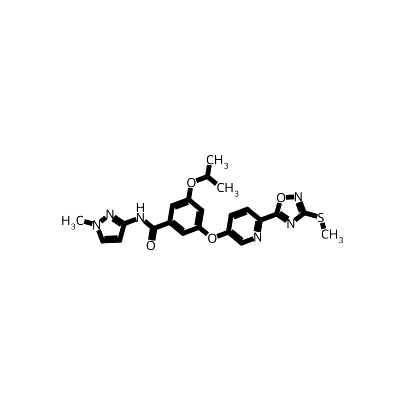 CSc1noc(-c2ccc(Oc3cc(OC(C)C)cc(C(=O)Nc4ccn(C)n4)c3)cn2)n1